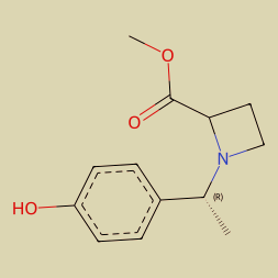 COC(=O)C1CCN1[C@H](C)c1ccc(O)cc1